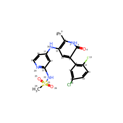 CC(C)c1[nH]c(=O)c(-c2cc(Cl)ccc2F)cc1Nc1ccnc(NS(C)(=O)=O)c1